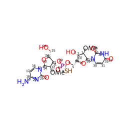 COC1[C@@H](O)[C@@H](COP(=O)(S)O[C@@H]2C(OC)[C@H](n3ccc(N)nc3=O)O[C@@H]2CO)O[C@H]1n1ccc(=O)[nH]c1=O